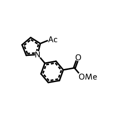 COC(=O)c1cccc(-n2cccc2C(C)=O)c1